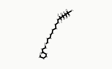 FC(F)(F)C(F)(F)C(F)(F)C(F)(F)CCCCCCCCCCOCCC1CCCCO1